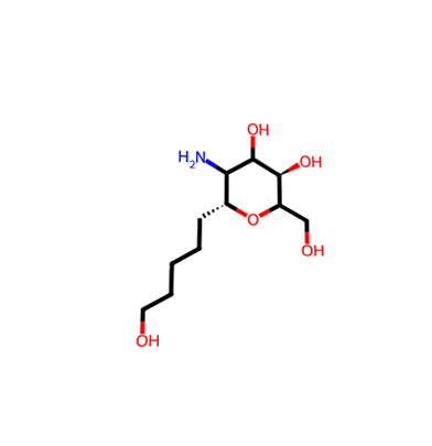 NC1C(O)[C@@H](O)C(CO)O[C@@H]1CCCCCO